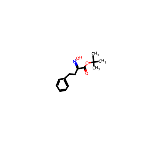 CC(C)(C)OC(=O)C(CCc1ccccc1)=NO